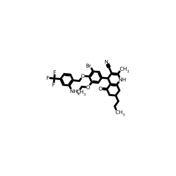 CCCC1CC(=O)C2=C(C1)NC(C)=C(C#N)C2c1cc(Br)c(OCc2ccc(C(F)(F)F)cc2N)c(OCC)c1